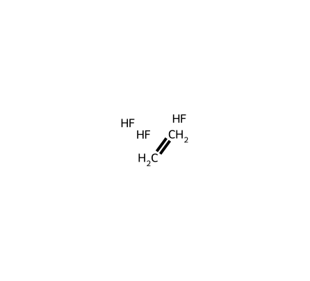 C=C.F.F.F